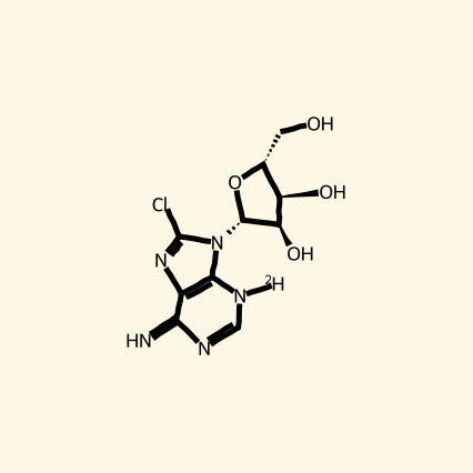 [2H]n1cnc(=N)c2nc(Cl)n([C@@H]3O[C@H](CO)[C@@H](O)[C@H]3O)c21